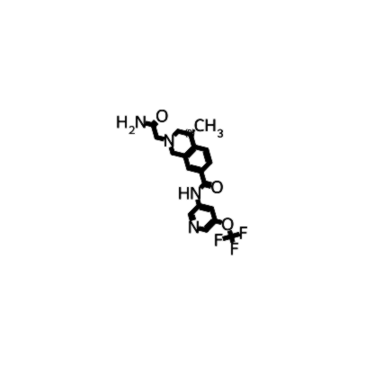 C[C@H]1CN(CC(N)=O)Cc2cc(C(=O)Nc3cncc(OC(F)(F)F)c3)ccc21